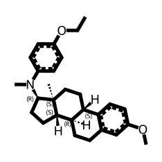 CCOc1ccc(N(C)[C@@H]2CC[C@H]3[C@@H]4CCc5cc(OC)ccc5[C@H]4CC[C@@]32C)cc1